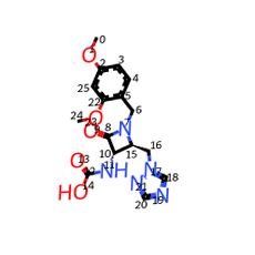 COc1ccc(CN2C(=O)[C@@H](NC(=O)O)[C@@H]2Cn2cncn2)c(OC)c1